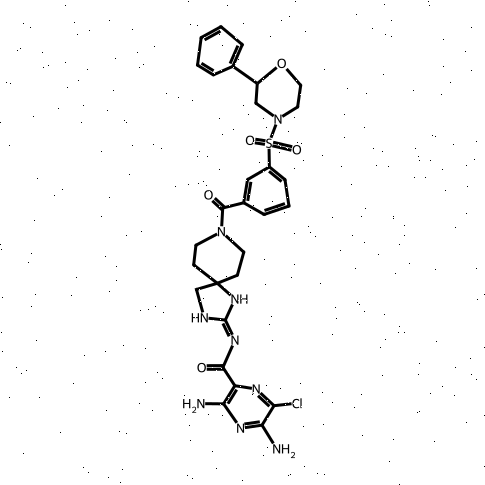 Nc1nc(N)c(C(=O)/N=C2\NCC3(CCN(C(=O)c4cccc(S(=O)(=O)N5CCOC(c6ccccc6)C5)c4)CC3)N2)nc1Cl